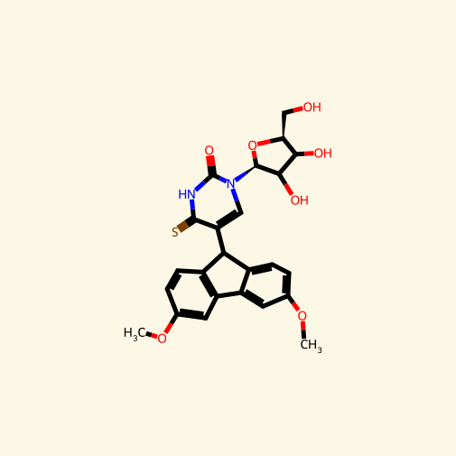 COc1ccc2c(c1)-c1cc(OC)ccc1C2c1cn([C@H]2O[C@@H](CO)C(O)C2O)c(=O)[nH]c1=S